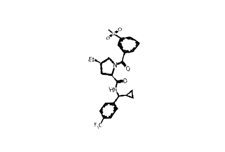 CC[C@@H]1C[C@H](C(=O)NC(c2ccc(C(F)(F)F)cc2)C2CC2)N(C(=O)c2cccc(S(C)(=O)=O)c2)C1